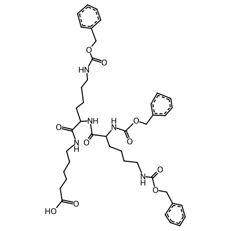 O=C(O)CCCCCNC(=O)C(CCCCNC(=O)OCc1ccccc1)NC(=O)C(CCCCNC(=O)OCc1ccccc1)NC(=O)OCc1ccccc1